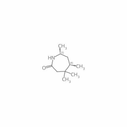 C[C@@H]1C[C@H](C)NC(=O)CC1(C)C